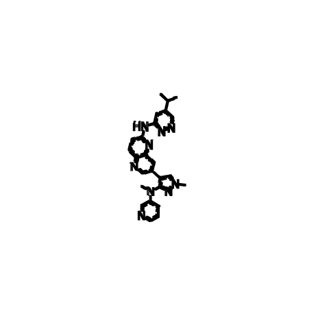 CC(C)c1cnnc(Nc2ccc3ncc(-c4cn(C)nc4N(C)c4cccnc4)cc3n2)c1